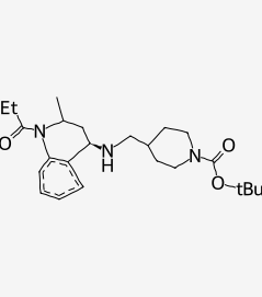 CCC(=O)N1c2ccccc2[C@H](NCC2CCN(C(=O)OC(C)(C)C)CC2)CC1C